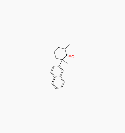 CC1CCCC(C)(c2ccc3ccccc3c2)C1=O